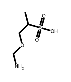 CC(COCN)S(=O)(=O)O